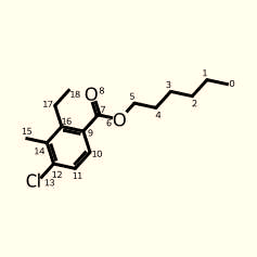 CCCCCCOC(=O)c1ccc(Cl)c(C)c1CC